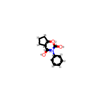 O=c1oc2c(c(=O)n1-c1ccccc1)CCC2